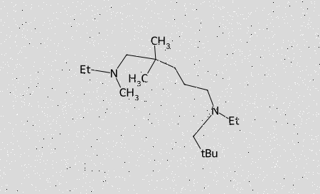 CCN(C)CC(C)(C)CCCN(CC)CC(C)(C)C